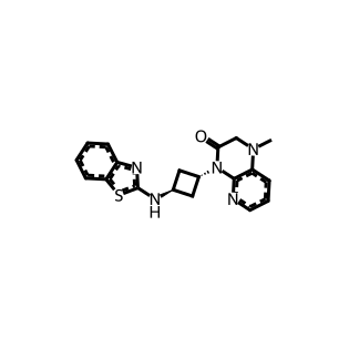 CN1CC(=O)N([C@H]2C[C@H](Nc3nc4ccccc4s3)C2)c2ncccc21